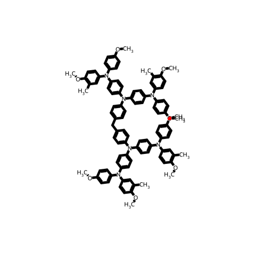 COc1ccc(N(c2ccc(N(c3ccc(Cc4ccc(N(c5ccc(N(c6ccc(OC)cc6)c6ccc(OC)c(C)c6)cc5)c5ccc(N(c6ccc(OC)cc6)c6ccc(OC)c(C)c6)cc5)cc4)cc3)c3ccc(N(c4ccc(OC)cc4)c4ccc(OC)c(C)c4)cc3)cc2)c2ccc(OC)c(C)c2)cc1